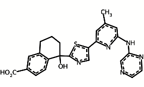 Cc1cc(Nc2cnccn2)nc(-c2cnc(C3(O)CCCc4cc(C(=O)O)ccc43)s2)c1